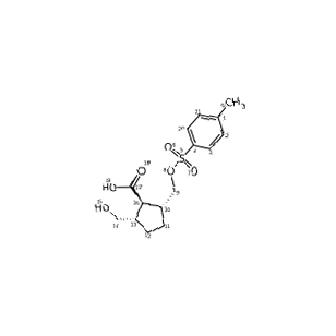 Cc1ccc(S(=O)(=O)OC[C@@H]2CC[C@H](CO)[C@H]2C(=O)O)cc1